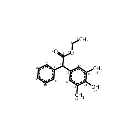 CCOC(=O)C(c1ccccc1)c1cc(C)c(O)c(C)c1